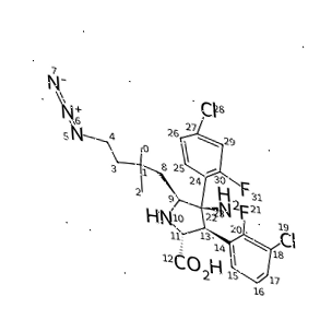 CC(C)(CCN=[N+]=[N-])C[C@@H]1N[C@@H](C(=O)O)[C@H](c2cccc(Cl)c2F)[C@@]1(N)c1ccc(Cl)cc1F